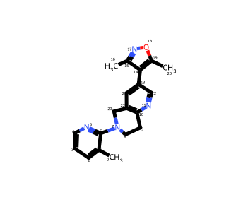 Cc1cccnc1N1CCc2ncc(-c3c(C)noc3C)cc2C1